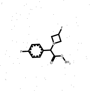 BOC(=O)C(c1ccc(F)cc1)N1CC(F)C1